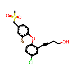 CS(=O)(=O)Cc1ccc(Oc2ccc(Cl)cc2C#CCCO)c(Br)c1